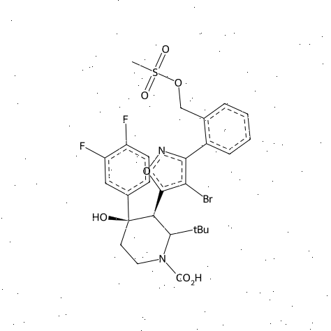 CC(C)(C)C1[C@H](c2onc(-c3ccccc3COS(C)(=O)=O)c2Br)[C@@](O)(c2ccc(F)c(F)c2)CCN1C(=O)O